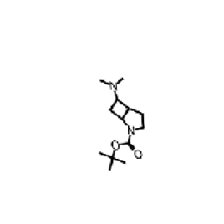 CN(C)C1CC2C1CCN2C(=O)OC(C)(C)C